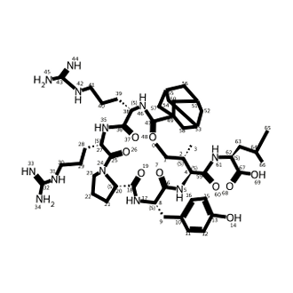 CC[C@H](C)[C@H](NC(=O)[C@H](Cc1ccc(O)cc1)NC(=O)[C@@H]1CCCN1C(=O)[C@H](CCCNC(=N)N)NC(=O)[C@H](CCCNC(=N)N)NC(=O)C12CC3CC(CC(C3)C1)C2)C(=O)N[C@@H](CC(C)C)C(=O)O